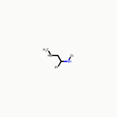 CBCC(NCC)C(C)C